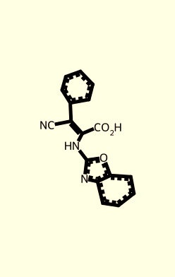 N#C/C(=C(\Nc1nc2ccccc2o1)C(=O)O)c1ccccc1